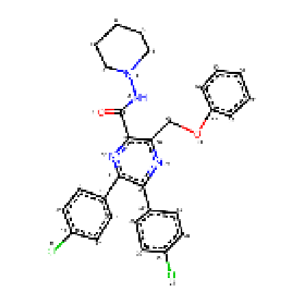 O=C(NN1CCCCC1)c1nc(-c2ccc(Cl)cc2)c(-c2ccc(Cl)cc2)nc1COc1ccccc1